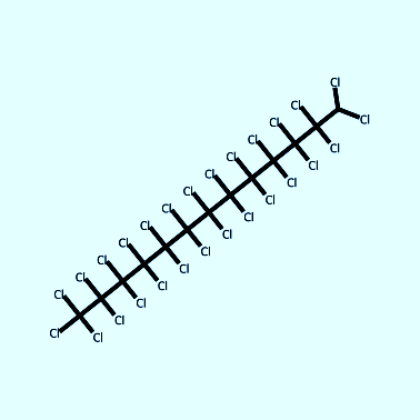 Cl[C](Cl)C(Cl)(Cl)C(Cl)(Cl)C(Cl)(Cl)C(Cl)(Cl)C(Cl)(Cl)C(Cl)(Cl)C(Cl)(Cl)C(Cl)(Cl)C(Cl)(Cl)C(Cl)(Cl)C(Cl)(Cl)C(Cl)(Cl)Cl